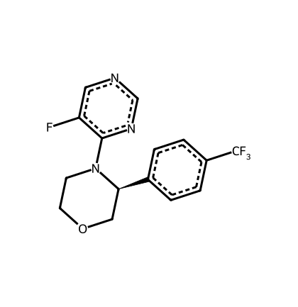 Fc1cncnc1N1CCOC[C@@H]1c1ccc(C(F)(F)F)cc1